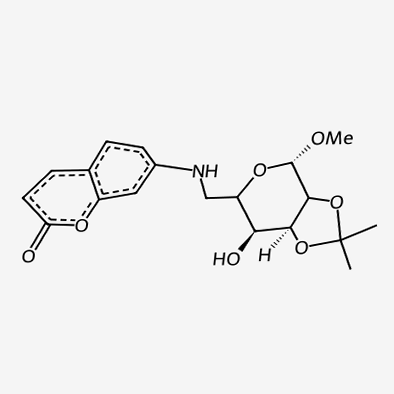 CO[C@H]1OC(CNc2ccc3ccc(=O)oc3c2)[C@H](O)[C@@H]2OC(C)(C)OC12